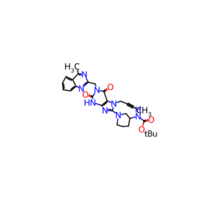 CC#CCn1c(N2CCCC(NC(=O)OC(C)(C)C)C2)nc2[nH]c(=O)n(Cc3nc(C)c4ccccc4n3)c(=O)c21